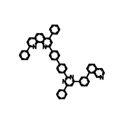 c1ccc(-c2cc(-c3cccc(-c4cccc5ccncc45)c3)nc(-c3ccc(-c4ccc(-c5cc(-c6ccccc6)c6ccc7ccc(-c8ccccc8)nc7c6n5)cc4)cc3)n2)cc1